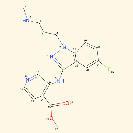 CNCCCn1nc(Nc2cnccc2C(=O)OC)c2cc(F)ccc21